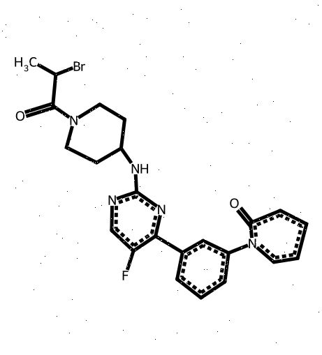 CC(Br)C(=O)N1CCC(Nc2ncc(F)c(-c3cccc(-n4ccccc4=O)c3)n2)CC1